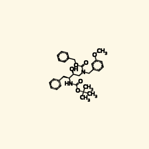 COc1cccc(CN(C[C@H](O)[C@H](Cc2ccccc2)NC(=O)OC(C)(C)C)C(=O)OCc2ccccc2)c1